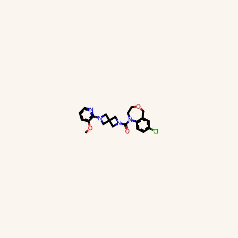 COc1cccnc1N1CC2(CN(C(=O)N3CCOCc4cc(Cl)ccc43)C2)C1